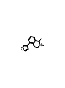 CC1c2cccc(-c3ccoc3)c2CCN1C